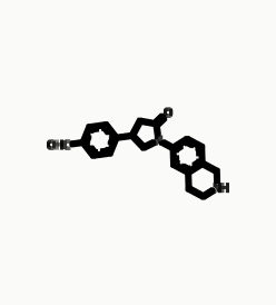 O=Cc1ccc(C2CC(=O)N(c3ccc4c(c3)CCNC4)C2)cc1